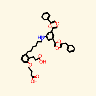 O=C(O)CCCOc1cccc(CCCCCCNc2cc(C3=COC=C(CC4=CC=CCC4)O3)cc(C3=COC=C(C4=CC=CCC4)O3)c2)c1CCC(=O)O